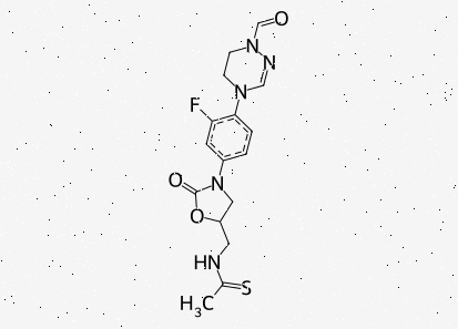 CC(=S)NCC1CN(c2ccc(N3C=NN(C=O)CC3)c(F)c2)C(=O)O1